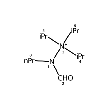 CCCN([C]=O)[N+](C(C)C)(C(C)C)C(C)C